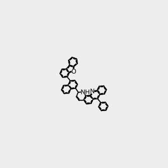 C1=CC(c2ccc(-c3cccc4c3oc3ccccc34)c3ccccc23)Nc2c1ccc1c(-c3ccccc3)c3ccccc3nc21